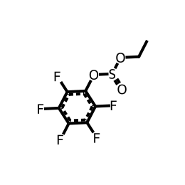 CCOS(=O)Oc1c(F)c(F)c(F)c(F)c1F